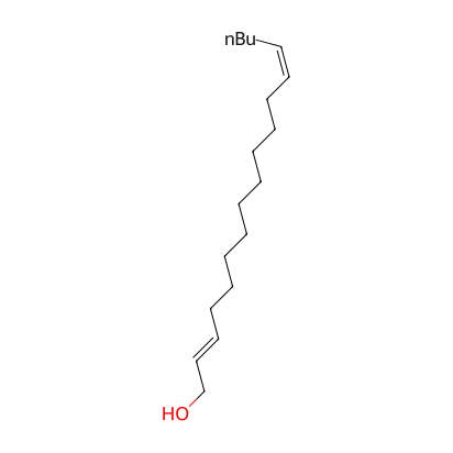 CCCC/C=C\CCCCCCCCC/C=C/CO